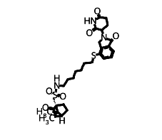 CC1(C)[C@H]2CC[C@]1(CS(=O)(=O)NCCCCCCCSc1cccc3c1CN(C1CCC(=O)NC1=O)C3=O)C(=O)C2